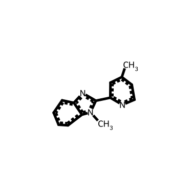 Cc1ccnc(-c2nc3ccccc3n2C)c1